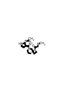 C=C/N=C1/NC=C/C1=C(/N)N1CCC[C@]2(CCN2C(=O)CN=C)C1